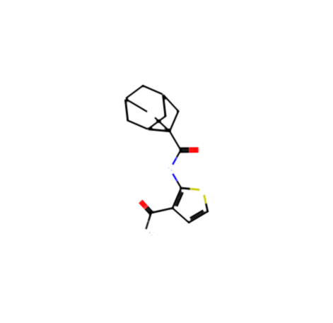 COC(=O)c1ccsc1NC(=O)C12CC3CC(CC1C3)C2